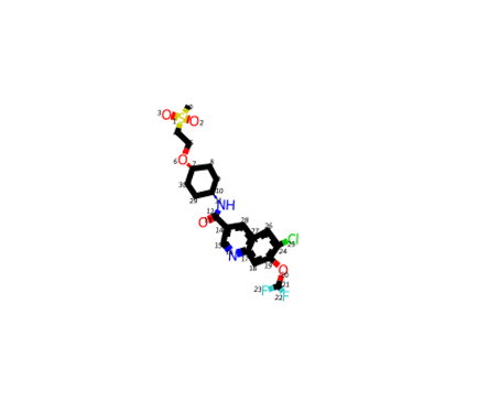 CS(=O)(=O)CCO[C@H]1CC[C@H](NC(=O)c2cnc3cc(OC(F)F)c(Cl)cc3c2)CC1